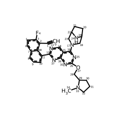 C#Cc1c(F)ccc2cccc(-c3ncc4c(N5CC6CCC(C5)N6)nc(OCC5CCCN5C)nc4n3)c12